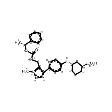 C[C@@H](OC(=O)NCc1c(-c2ccc(O[C@H]3CCC[C@H](C(=O)O)C3)cn2)nnn1C)c1ccccc1